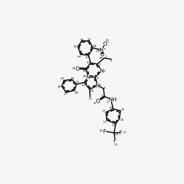 CCc1nc2n(CC(=O)Nc3ccc(C(F)(F)F)cc3)c(C)c(-c3ccccc3)n2c(=O)c1-c1ccccc1[N+](=O)[O-]